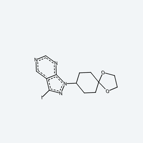 Ic1nn(C2CCC3(CC2)OCCO3)c2ncncc12